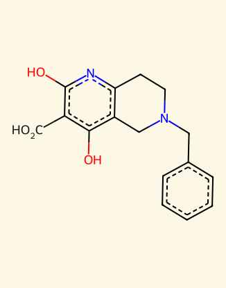 O=C(O)c1c(O)nc2c(c1O)CN(Cc1ccccc1)CC2